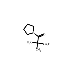 CC(C)(C(=O)O)C(=O)N1CCCC1